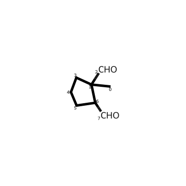 CC1(C=O)CCCC1C=O